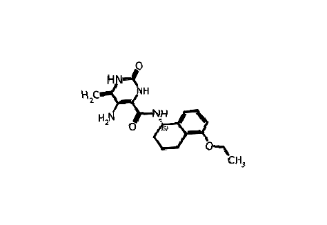 C=C1NC(=O)NC(C(=O)N[C@H]2CCCc3c(OCC)cccc32)=C1N